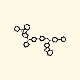 c1ccc(-c2ccc(C(Cc3ccc(-c4ccc(N(c5ccccc5)c5ccc6c(c5)c5ccccc5n6-c5ccccc5)cc4)cc3)c3ccc4sc5ccccc5c4c3)cc2)cc1